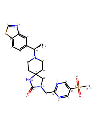 C[C@H](c1ccc2scnc2c1)N1CCC2(CC1)CN(Cc1ncc(S(C)(=O)=O)cn1)C(=O)N2